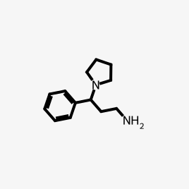 NCCC(c1ccccc1)N1CCCC1